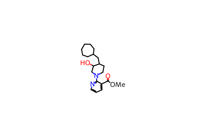 COC(=O)c1cccnc1N1CCC(CC2CCCCCC2)C(O)C1